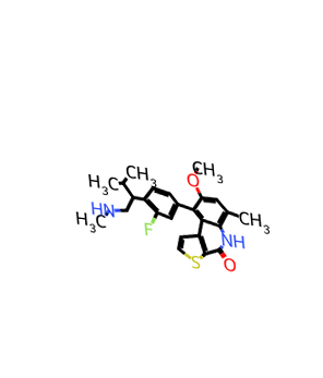 CNCC(c1ccc(-c2c(OC)cc(C)c3[nH]c(=O)c4sccc4c23)cc1F)C(C)C